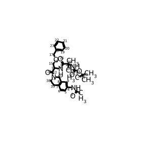 CC(=O)Nc1ccc2c(c1)CN(C(=O)C(COCc1ccccc1)NC(=O)C(C)(C)NC(=O)OC(C)(C)C)CC2